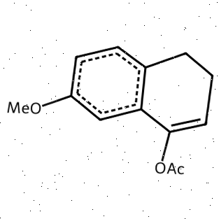 COc1ccc2c(c1)C(OC(C)=O)=CCC2